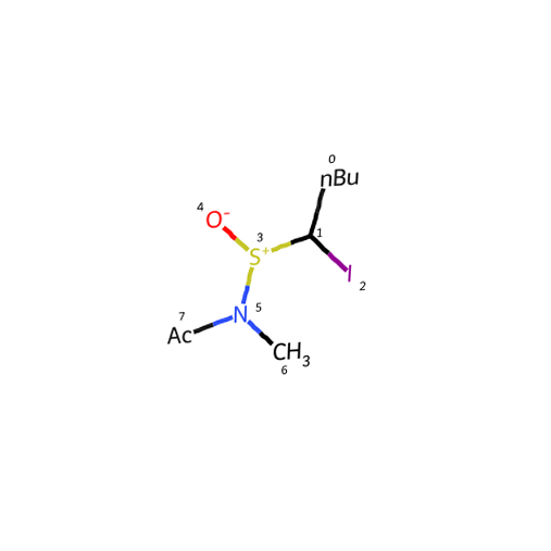 CCCCC(I)[S+]([O-])N(C)C(C)=O